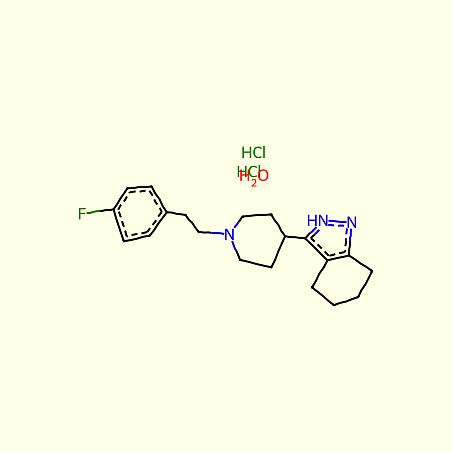 Cl.Cl.Fc1ccc(CCN2CCC(c3[nH]nc4c3CCCC4)CC2)cc1.O